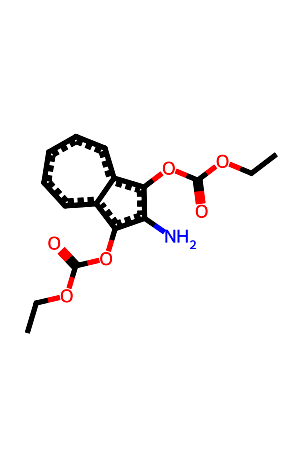 CCOC(=O)Oc1c2cccccc-2c(OC(=O)OCC)c1N